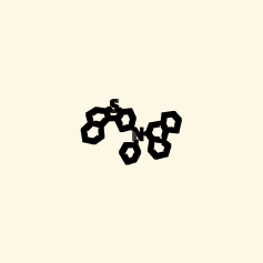 c1ccc(N(c2ccc3sc4ccc5ccccc5c4c3c2)c2cc3ccccc3c3ccccc23)cc1